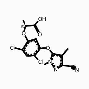 Cc1c(C#N)nn(C)c1Oc1cc(O[C@@H](C)C(=O)O)c(Cl)cc1Cl